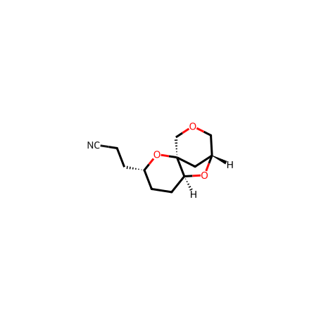 N#CCC[C@H]1CC[C@@H]2O[C@H]3COC[C@@]2(C3)O1